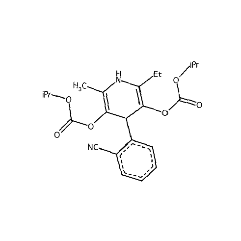 CCC1=C(OC(=O)OC(C)C)C(c2ccccc2C#N)C(OC(=O)OC(C)C)=C(C)N1